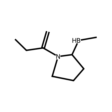 C=C(CC)N1CCCC1BC